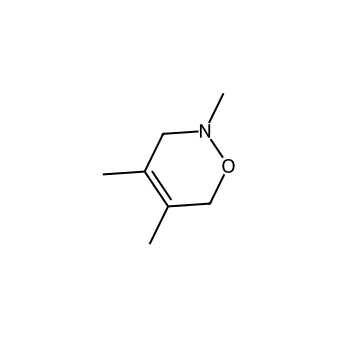 CC1=C(C)CN(C)OC1